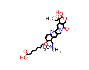 CC[C@@]1(O)C(=O)OCc2c1cc1n(c2=O)Cc2cc3c(CN(C)C)c(OCCCCCCC(=O)O)ccc3nc2-1